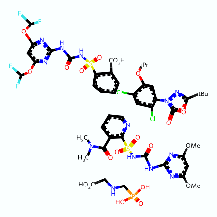 CC(C)Oc1cc(-n2nc(C(C)(C)C)oc2=O)c(Cl)cc1Cl.COc1cc(OC)nc(NC(=O)NS(=O)(=O)c2ncccc2C(=O)N(C)C)n1.O=C(Nc1nc(OC(F)F)cc(OC(F)F)n1)NS(=O)(=O)c1ccccc1C(=O)O.O=C(O)CNCP(=O)(O)O